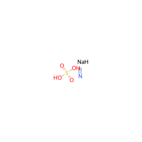 C#N.O=S(=O)(O)O.[NaH]